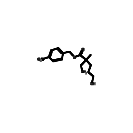 CC(CN)(CCCO)C(=O)OCc1ccc([N+](=O)[O-])cc1